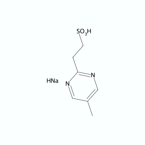 Cc1cnc(CCS(=O)(=O)O)nc1.[NaH]